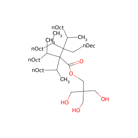 CCCCCCCCCCCC(C(C)CCCCCCCC)(C(C)CCCCCCCC)C(C(=O)OCC(CO)(CO)CO)(C(C)CCCCCCCC)C(C)CCCCCCCC